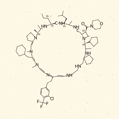 CC[C@H](C)[C@H]1CN[C@@H](CC(C)C)C(C)NCC2[C@@H](C(=O)N3CCOCC3)C(C)N2[C@@H](C2CCCC2)C(C)NC2(CCCC2)CNCCNC=CC(CCc2ccc(C(F)(F)F)c(Cl)c2)=NC=CN(C)C=C(CC2CCCCC2)N(C)C=C2CCCN2[C@@H](C)C(C)N1